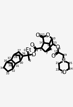 CCC(C)(OC(=O)C1C2CC3C(OC(=O)C31)C2OC(=O)CN1CCOCC1)C1CC2CC1C1C3CCC(C3)C21